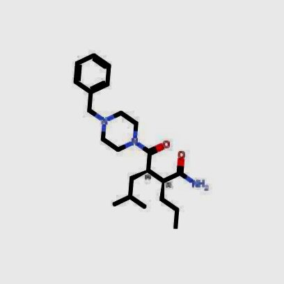 CCC[C@H](C(N)=O)[C@@H](CC(C)C)C(=O)N1CCN(Cc2ccccc2)CC1